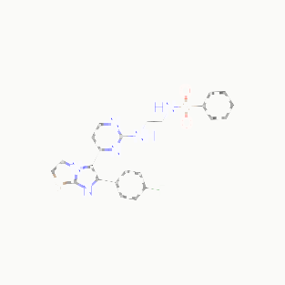 O=S(=O)(NCCNc1nccc(-c2c(-c3ccc(F)cc3)nc3sccn23)n1)c1ccccc1